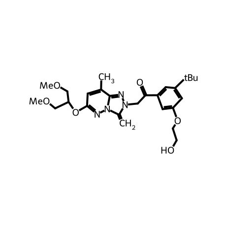 C=C1N(CC(=O)c2cc(OCCO)cc(C(C)(C)C)c2)N=C2C(C)=CC(OC(COC)COC)=NN12